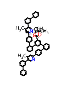 Cc1cc(-c2ccc(-c3ccccc3-c3cc(B4OC(C)(C)C(C)(C)O4)cc(-c4ccccc4-c4ccc(-c5cc(C)c(-c6cccc(-c7ccccc7)c6)cn5)cc4)c3)cc2)ncc1-c1cccc(-c2ccccc2)c1